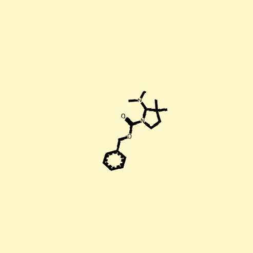 CN(C)C1N(C(=O)OCc2ccccc2)CCC1(C)C